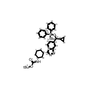 CC(C)(C)OC(=O)N[C@@H]1CCC[C@H](c2nnc3cc(C(O[Si](c4ccccc4)(c4ccccc4)C(C)(C)C)C4CC4)ccn23)C1